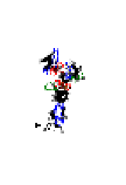 CCN1CCN(c2ccc(S(=O)(=O)[C@@H]3C[C@@H](OC(=O)NC4(C#N)CC4)N(c4ncccc4C(F)(F)F)C3)c(Cl)c2)CC1